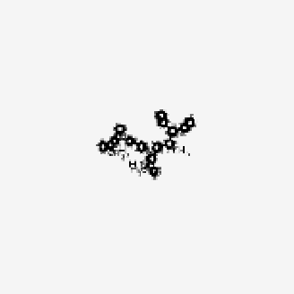 CC1C=C(c2ccc3c(c2)c2cc4c(cc2n3-c2ccc(-c3ccc(-n5c6ccccc6c6cc7c(cc65)C(C)(C)c5ccccc5-7)cc3)cc2)C(C)(C)c2ccccc2-4)C=C(c2cc(-c3ccc4ccccc4c3)cc(-c3ccc4ccccc4c3)c2)C1